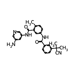 Cc1ccc(NC(=O)c2cccc(C(C)(C)C#N)c2)cc1C(=O)Nc1cncc(N)c1